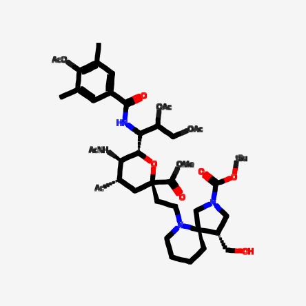 COC(=O)[C@]1(CCN2CCCC[C@]23CN(C(=O)OC(C)(C)C)C[C@@H]3CO)C[C@H](C(C)=O)[C@@H](NC(C)=O)[C@H](C(NC(=O)c2cc(C)c(OC(C)=O)c(C)c2)C(COC(C)=O)OC(C)=O)O1